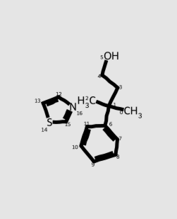 CC(C)(CCO)c1ccccc1.c1cscn1